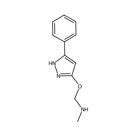 CNCOc1cc(-c2ccccc2)[nH]n1